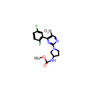 CC(C)(C)OC(=O)NC1CCN(c2ncc([N+](=O)[O-])c(-c3cc(F)ccc3F)n2)C1